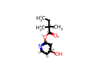 CCC(C)(C)C(=O)Oc1cc(O)ccn1